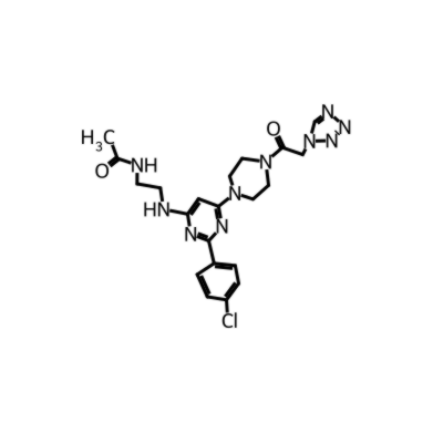 CC(=O)NCCNc1cc(N2CCN(C(=O)Cn3cnnn3)CC2)nc(-c2ccc(Cl)cc2)n1